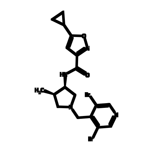 C[C@@H]1CN(Cc2c(Br)cncc2Br)C[C@@H]1NC(=O)c1cc(C2CC2)on1